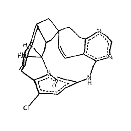 CC12NC3=C4CC5(C=Cc6c(ncnc6Nc6cc(Cl)c3n1c6=O)C5)C42